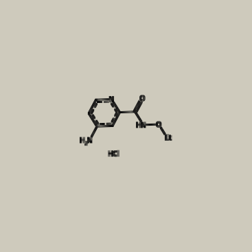 CCONC(=O)c1cc(N)ccn1.Cl